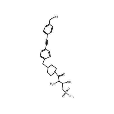 CS(=O)(=O)CC(O)C(N)C(=O)N1CCC(Cc2ccc(C#Cc3ccc(CO)cc3)cc2)CC1